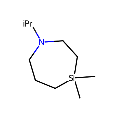 CC(C)N1CCC[Si](C)(C)CC1